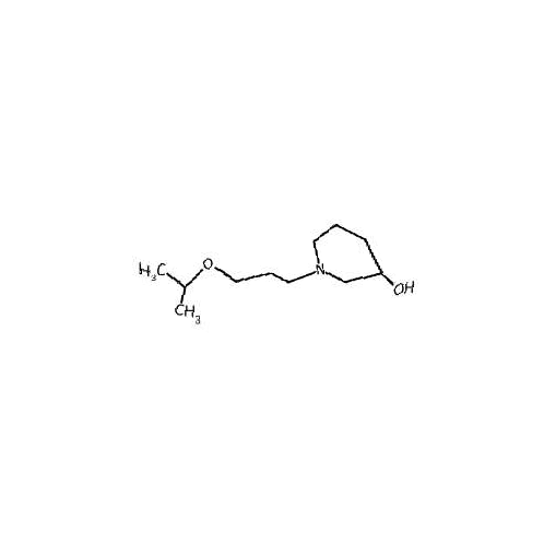 CC(C)OCCCN1CCCC(O)C1